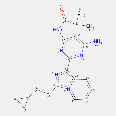 CC1(C)C(=O)Nc2nc(-c3nc(CCC4CC4)n4ccccc34)nc(N)c21